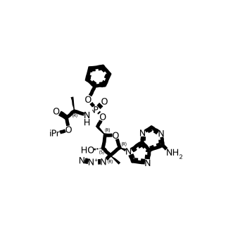 CC(C)OC(=O)[C@@H](C)NP(=O)(OC[C@H]1O[C@@H](n2cnc3c(N)ncnc32)[C@](C)(N=[N+]=[N-])[C@@H]1O)Oc1ccccc1